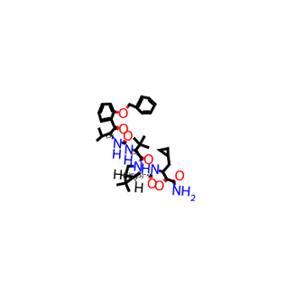 CC(C)[C@H](NC(=O)N[C@H](C(=O)N1C[C@H]2[C@@H]([C@H]1C(=O)NC(CC1CC1)C(=O)C(N)=O)C2(C)C)C(C)(C)C)C(=O)c1ccccc1OCc1ccccc1